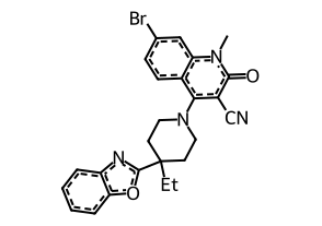 CCC1(c2nc3ccccc3o2)CCN(c2c(C#N)c(=O)n(C)c3cc(Br)ccc23)CC1